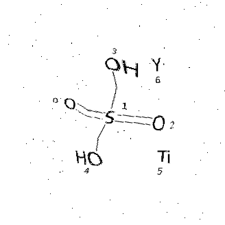 O=S(=O)(O)O.[Ti].[Y]